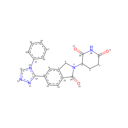 O=C1CCC(N2Cc3cc(-c4nncn4-c4ccccc4)ccc3C2=O)C(=O)N1